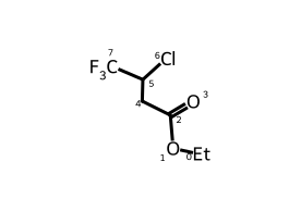 CCOC(=O)CC(Cl)C(F)(F)F